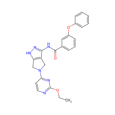 CCOc1nccc(N2Cc3[nH]nc(NC(=O)c4cccc(Oc5ccccc5)c4)c3C2)n1